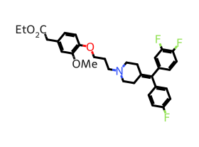 CCOC(=O)Cc1ccc(OCCCN2CCC(=C(c3ccc(F)cc3)c3ccc(F)c(F)c3)CC2)c(OC)c1